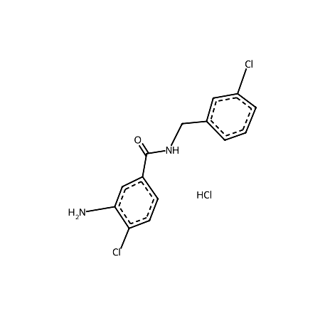 Cl.Nc1cc(C(=O)NCc2cccc(Cl)c2)ccc1Cl